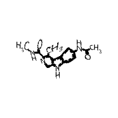 CNC(=O)c1ncc2[nH]c3ccc(NC(C)=O)cc3c2c1C